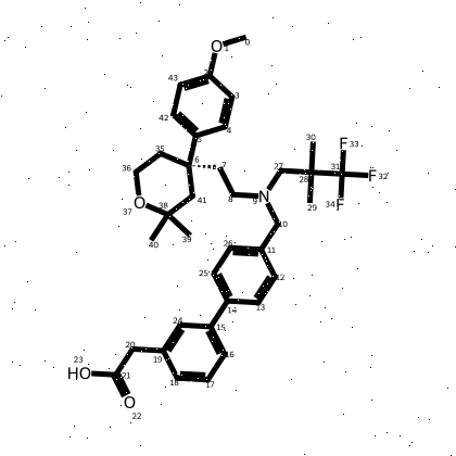 COc1ccc([C@]2(CCN(Cc3ccc(-c4cccc(CC(=O)O)c4)cc3)CC(C)(C)C(F)(F)F)CCOC(C)(C)C2)cc1